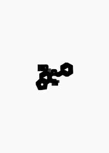 O=[N+]([O-])c1cc2c(c(Br)c1OCc1ccccc1)CCC2